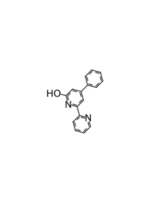 Oc1cc(-c2ccccc2)cc(-c2ccccn2)n1